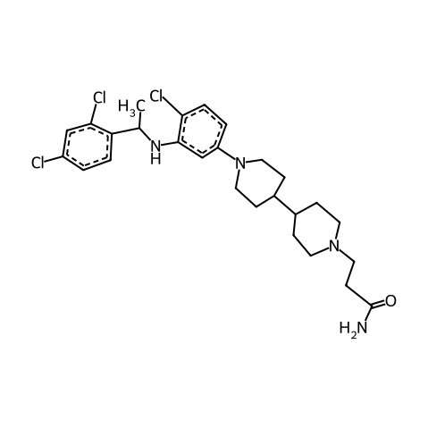 CC(Nc1cc(N2CCC(C3CCN(CCC(N)=O)CC3)CC2)ccc1Cl)c1ccc(Cl)cc1Cl